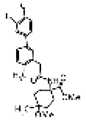 COC(=O)C1(NC(=O)Cc2cc(-c3ccc(Cl)c(F)c3)ccc2C)CCC(C)(OC)CC1